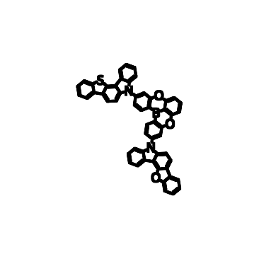 c1cc2c3c(c1)Oc1cc(-n4c5ccccc5c5c6sc7ccccc7c6ccc54)ccc1B3c1ccc(-n3c4ccccc4c4c5oc6ccccc6c5ccc43)cc1O2